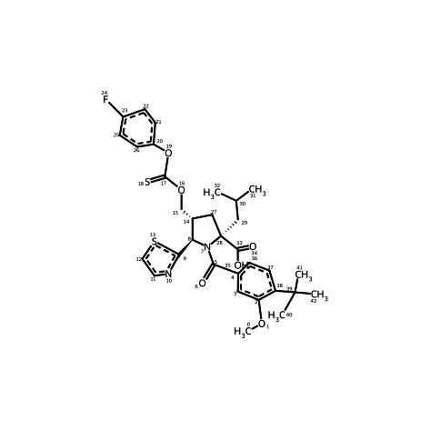 COc1cc(C(=O)N2[C@@H](c3nccs3)[C@H](COC(=S)Oc3ccc(F)cc3)C[C@@]2(CC(C)C)C(=O)O)ccc1C(C)(C)C